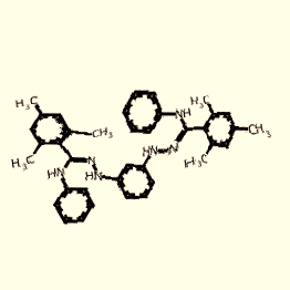 Cc1cc(C)c(/C(=N/Nc2cccc(N/N=C(\Nc3ccccc3)c3c(C)cc(C)cc3C)c2)Nc2ccccc2)c(C)c1